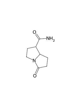 NC(=O)C1CCN2C(=O)CCC12